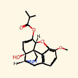 COc1ccc2c3c1O[C@H]1C(OC(=O)C(C)C)=CC[C@@]4(O)[C@@H](C2)NCC[C@]314